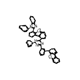 c1ccc(-c2nc(-c3cccc(-c4cccc5c4oc4ccccc45)c3)nc(-c3cccc4oc5c(-c6nc7ccccc7n6-c6ccccc6)cccc5c34)n2)cc1